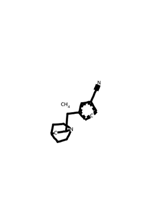 C.N#Cc1cccc(CC2CC3CCN2CC3)c1